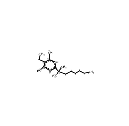 CCCCCCC(C)(C)c1nc(O)c(CC)c(O)n1